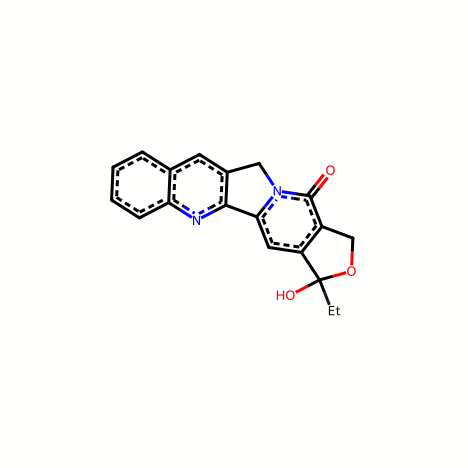 CCC1(O)OCc2c1cc1n(c2=O)Cc2cc3ccccc3nc2-1